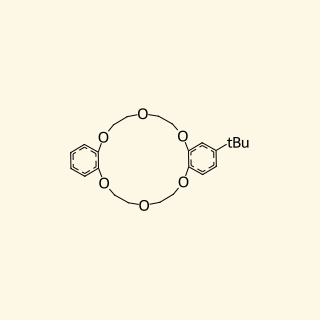 CC(C)(C)c1ccc2c(c1)OCCOCCOc1ccccc1OCCOCCO2